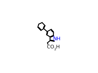 O=C(O)Cc1c[nH]c2ccc(C3=CCCC=C3)cc12